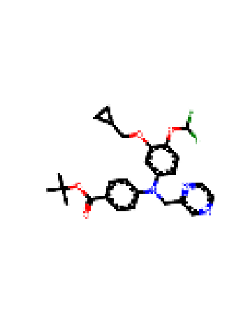 CC(C)(C)OC(=O)c1ccc(N(Cc2cnccn2)c2ccc(OC(F)F)c(OCC3CC3)c2)cc1